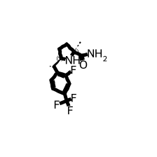 C[C@@]1(C(N)=O)CC[C@H]([CH]c2ccc(C(F)(F)F)cc2F)N1